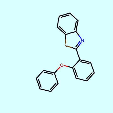 c1ccc(Oc2ccccc2-c2nc3ccccc3s2)cc1